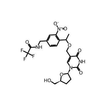 CC(OCc1cn([C@H]2CC[C@@H](CO)O2)c(=O)[nH]c1=O)c1ccc(CNC(=O)C(F)(F)F)cc1[N+](=O)[O-]